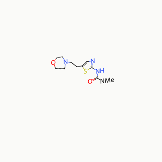 CNC(=O)Nc1ncc(CCN2CCOCC2)s1